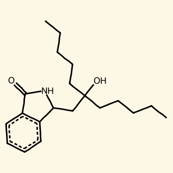 CCCCCC(O)(CCCCC)CC1NC(=O)c2ccccc21